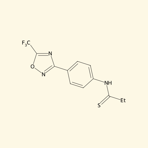 CCC(=S)Nc1ccc(-c2noc(C(F)(F)F)n2)cc1